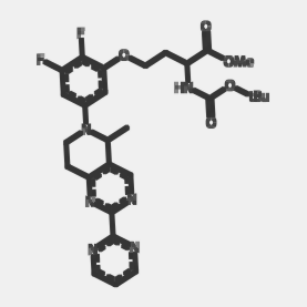 COC(=O)C(CCOc1cc(N2CCc3nc(-c4ncccn4)ncc3C2C)cc(F)c1F)NC(=O)OC(C)(C)C